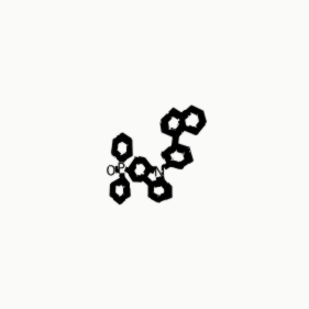 O=P(c1ccccc1)(c1ccccc1)c1ccc2c(c1)c1ccccc1n2-c1cccc(-c2cccc3ccccc23)c1